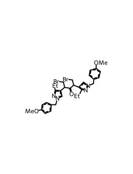 CCc1nn(Cc2ccc(OC)cc2)cc1C(CBr)C(=O)C(CBr)c1cn(Cc2ccc(OC)cc2)nc1CC